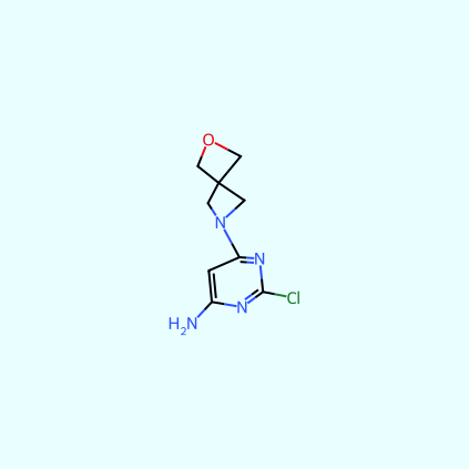 Nc1cc(N2CC3(COC3)C2)nc(Cl)n1